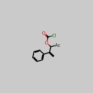 C=C(c1ccccc1)C(OC(=O)Cl)C(C)=O